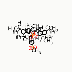 CC(C)C(C)(C)c1cc(C(C)(C)C(C)C)c2cc(OP(Oc3ccc(S(C)(=O)=O)cc3)Oc3cc4c(C(C)(C)C(C)C)cc(C(C)(C)C(C)C)cc4cc3C(C)(C)C(C)C)c(C(C)(C)C(C)C)cc2c1